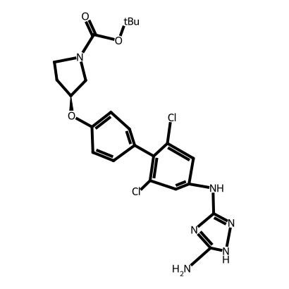 CC(C)(C)OC(=O)N1CC[C@H](Oc2ccc(-c3c(Cl)cc(Nc4n[nH]c(N)n4)cc3Cl)cc2)C1